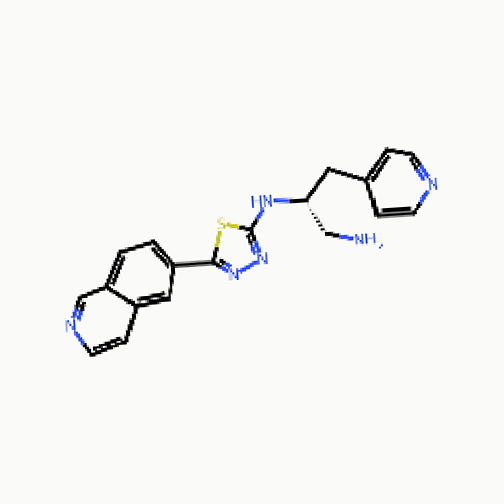 NC[C@@H](Cc1ccncc1)Nc1nnc(-c2ccc3cnccc3c2)s1